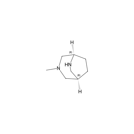 CN1C[C@@H]2CC[C@H](C1)NC2